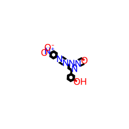 O=[N+]([O-])c1ccc(N2CCN(c3cc(-c4cccc(O)c4)nc(N4CCOCC4)n3)CC2)cc1